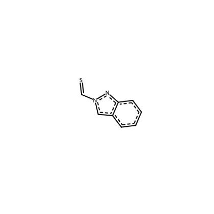 S=Cn1cc2ccccc2n1